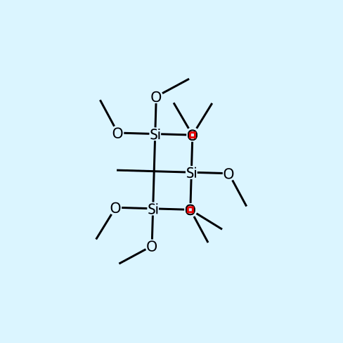 CO[Si](OC)(OC)C(C)([Si](OC)(OC)OC)[Si](OC)(OC)OC